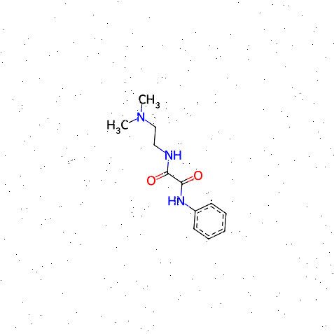 CN(C)CCNC(=O)C(=O)Nc1[c]cccc1